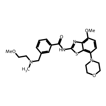 COCCN(C)Cc1cccc(C(=O)Nc2nc3c(OC)ccc(N4CCOCC4)c3s2)c1